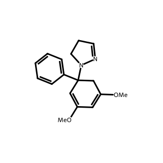 COC1=CC(c2ccccc2)(N2CCC=N2)CC(OC)=C1